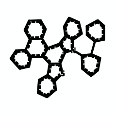 c1ccc(-c2ccccc2-n2c3ccccc3c3c4c5ccccc5c5ccccc5c4c4c5ccccc5sc4c32)cc1